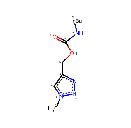 CCCCNC(=O)OCc1cn(C)nn1